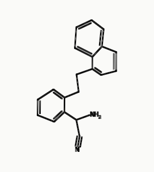 N#CC(N)c1ccccc1CCc1cccc2ccccc12